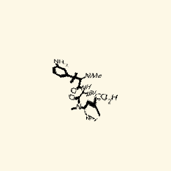 CN[C@@H](C(=O)N[C@H](C(=O)N(C)[C@H](/C=C(\C)C(=O)O)C(C)C)C(C)(C)C)C(C)(C)c1cccc(N)c1